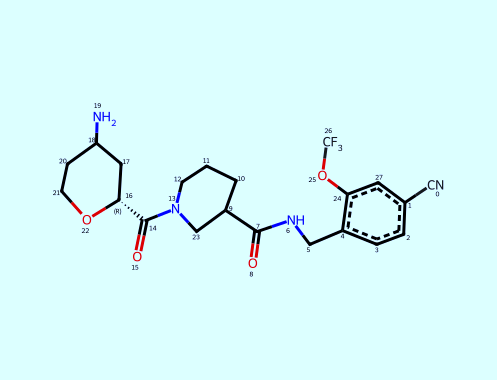 N#Cc1ccc(CNC(=O)C2CCCN(C(=O)[C@H]3CC(N)CCO3)C2)c(OC(F)(F)F)c1